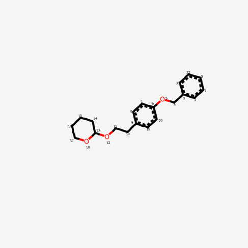 c1ccc(COc2ccc(CCOC3CCCCO3)cc2)cc1